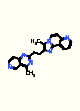 Cc1nc(CCc2nc3c4cccnc4ccn3c2C)nc2ccncc12